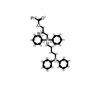 CC(C)C(=O)OCC(Br)C[PH](CCCCP(c1ccccc1)c1ccccc1)(c1ccccc1)c1ccccc1